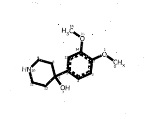 COc1ccc(C2(O)CCNCC2)cc1OC